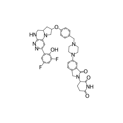 O=C1CCC(N2Cc3ccc(N4CCN(Cc5ccc(OC6CC7CNc8nnc(-c9cc(F)cc(F)c9O)cc8N7C6)cc5)CC4)cc3C2=O)C(=O)N1